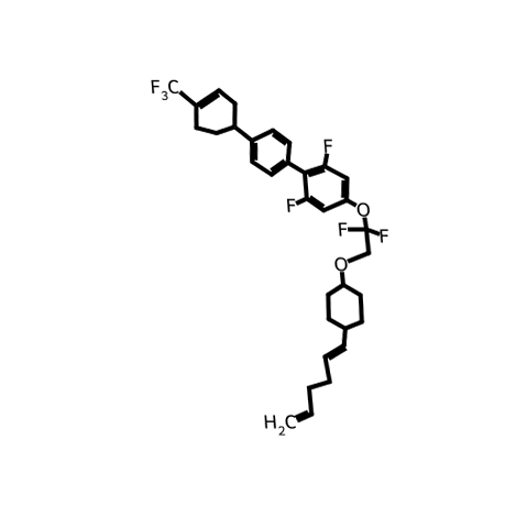 C=CCC/C=C/C1CCC(OCC(F)(F)Oc2cc(F)c(-c3ccc(C4CC=C(C(F)(F)F)CC4)cc3)c(F)c2)CC1